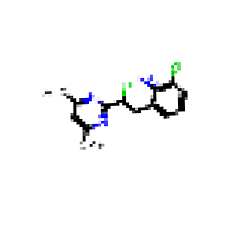 COc1cc(OC)nc(C(Cl)Cc2cccc(Cl)c2N)n1